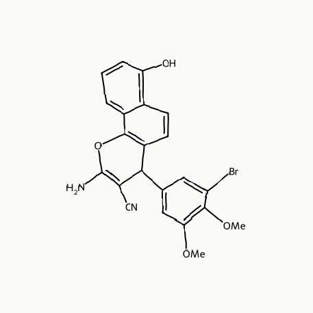 COc1cc(C2C(C#N)=C(N)Oc3c2ccc2c(O)cccc32)cc(Br)c1OC